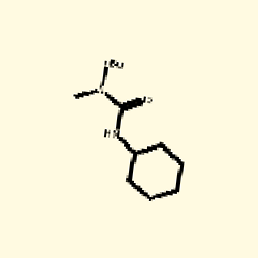 CCCCN(C)C(=O)NC1CCCCC1